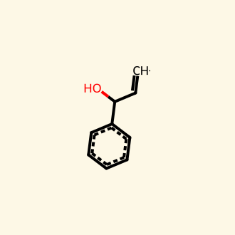 [CH]=CC(O)c1ccccc1